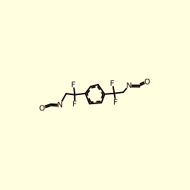 O=C=NCC(F)(F)c1ccc(C(F)(F)CN=C=O)cc1